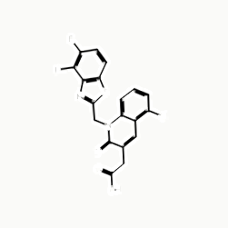 O=C(O)Cc1cc2c(Cl)cccc2n(Cc2nc3c(F)c(F)ccc3s2)c1=O